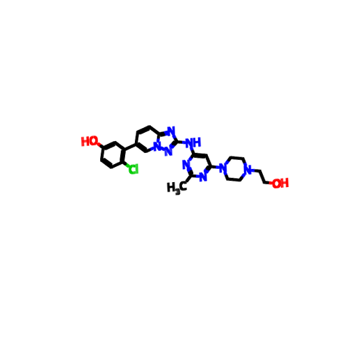 Cc1nc(Nc2nc3ccc(-c4cc(O)ccc4Cl)cn3n2)cc(N2CCN(CCO)CC2)n1